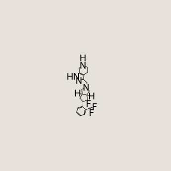 FC(F)(F)c1ccccc1[C@@H]1C[C@@H]2CN(Cc3n[nH]c4c3CCNC4)C[C@@H]2C1